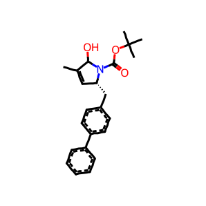 CC1=C[C@@H](Cc2ccc(-c3ccccc3)cc2)N(C(=O)OC(C)(C)C)C1O